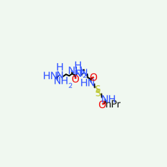 CCCC(=O)NCCSSCCNC(=O)CCN(C)CNC(=O)C(N)CCCNC(=N)N